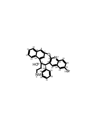 CNCC[C@@]1(O)c2cc(cc3ccccc23)Oc2nc3ccc(Br)cc3cc2[C@H]1c1ccccc1